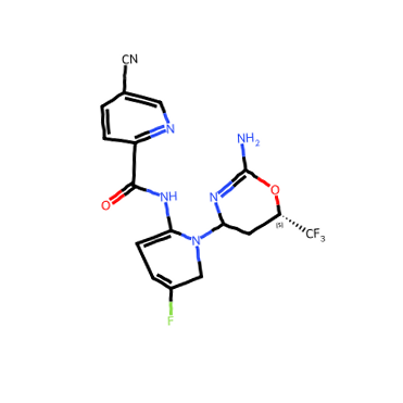 N#Cc1ccc(C(=O)NC2=CC=C(F)CN2C2C[C@@H](C(F)(F)F)OC(N)=N2)nc1